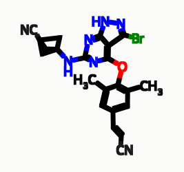 Cc1cc(/C=C/C#N)cc(C)c1Oc1nc(NC23CC(C#N)(C2)C3)nc2[nH]nc(Br)c12